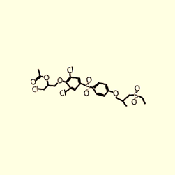 CCS(=O)(=O)CC(C)COc1ccc(S(=O)(=O)c2cc(Cl)c(OCC(CCl)OC(C)=O)c(Cl)c2)cc1